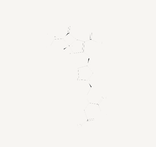 CC(=N)C(CC(N)=O)SC[C@@H]1C[C@H](SC2=C(C(=O)O)N3C(=O)[C@H]([C@@H](C)O)[C@H]3[C@H]2C)CN1